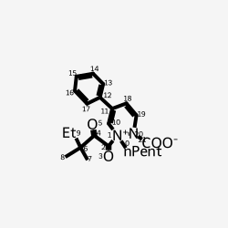 CCCCC[N+]1(C(=O)C(=O)C(C)(C)CC)C=C(c2ccccc2)C=CN1C(=O)[O-]